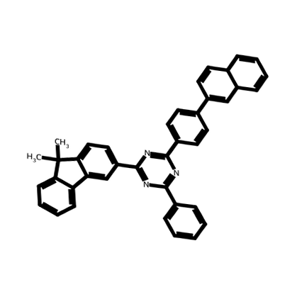 CC1(C)c2ccccc2-c2cc(-c3nc(-c4ccccc4)nc(-c4ccc(C5=CC6C=CC=CC6C=C5)cc4)n3)ccc21